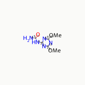 COc1nc(NC(N)=O)nc(OC)n1